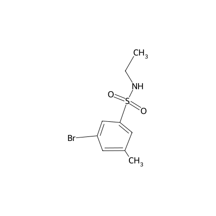 CCNS(=O)(=O)c1cc(C)cc(Br)c1